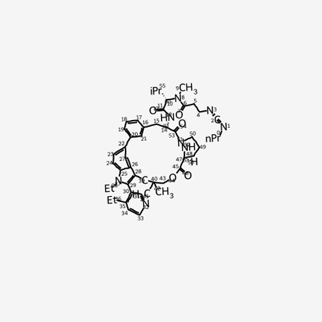 CCCN=C=NCCC(=O)N(C)[C@H](C(=O)N[C@H]1Cc2cccc(c2)-c2ccc3c(c2)c(c(-c2cnccc2CC)n3CC)CC(C)(C)COC(=O)[C@@H]2CCCN(N2)C1=O)C(C)C